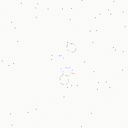 CC(NC1CCn2c1nc1cccc(Cl)c1c2=O)c1ccccc1